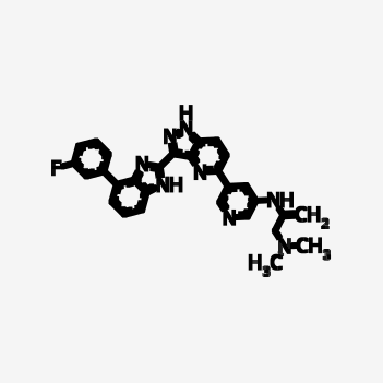 C=C(CN(C)C)Nc1cncc(-c2ccc3[nH]nc(-c4nc5c(-c6cccc(F)c6)cccc5[nH]4)c3n2)c1